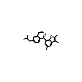 Cc1cc(-c2nccc3cc(CC(C)C)ccc23)c2oc(C)c(C)c2c1